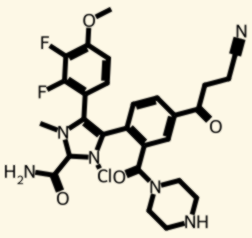 COc1ccc(C2=C(c3ccc(C(=O)CCC#N)cc3C(=O)N3CCNCC3)N(Cl)C(C(N)=O)N2C)c(F)c1F